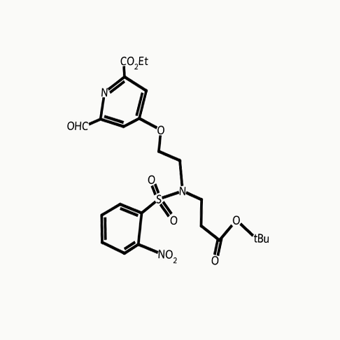 CCOC(=O)c1cc(OCCN(CCC(=O)OC(C)(C)C)S(=O)(=O)c2ccccc2[N+](=O)[O-])cc(C=O)n1